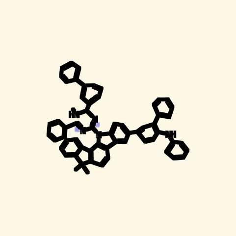 CNC(/N=C(\N=C\c1ccccc1)n1c2ccc(-c3ccc(Nc4ccccc4)c(-c4ccccc4)c3)cc2c2ccc3c(c21)-c1ccccc1C3(C)C)c1cccc(-c2ccccc2)c1